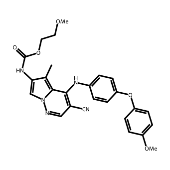 COCCOC(=O)Nc1cn2ncc(C#N)c(Nc3ccc(Oc4ccc(OC)cc4)cc3)c2c1C